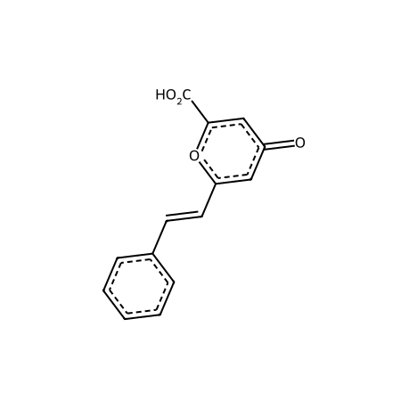 O=C(O)c1cc(=O)cc(C=Cc2ccccc2)o1